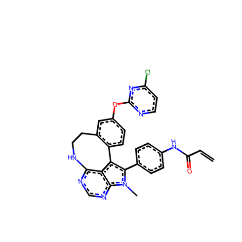 C=CC(=O)Nc1ccc(-c2c3c4c(ncnc4n2C)NCCc2cc(Oc4nccc(Cl)n4)ccc2-3)cc1